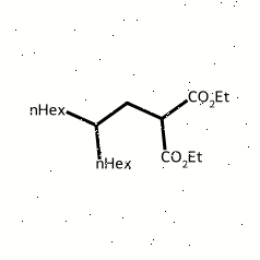 CCCCCCC(CCCCCC)CC(C(=O)OCC)C(=O)OCC